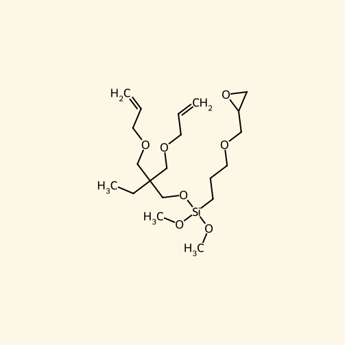 C=CCOCC(CC)(COCC=C)CO[Si](CCCOCC1CO1)(OC)OC